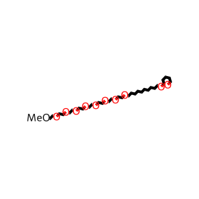 COCCOCCOCCOCCOCCOCCOCCOCCOCCCCCCCCCCOC1CCCCO1